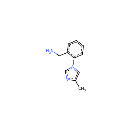 Cc1cn(-c2ccccc2CN)cn1